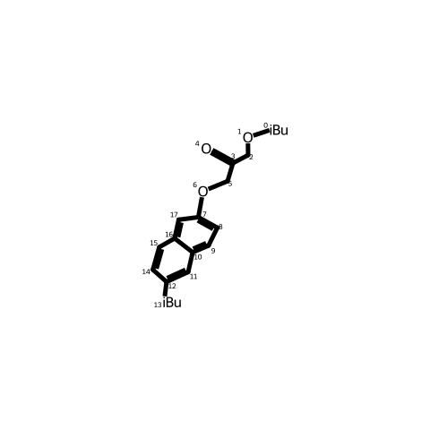 CCC(C)OCC(=O)COc1ccc2cc(C(C)CC)ccc2c1